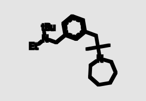 CCN(Cc1cccc(CC(C)(C)N2CCCCCC2)c1)C(C)(C)C